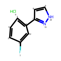 Cl.Fc1cccc(-c2cc[nH]n2)c1